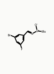 CC(C)(C)[S+]([O-])N=Cc1cc(F)cc(Br)c1